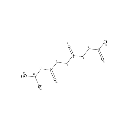 CCC(=O)CCC(=O)CCC(=O)CC(O)Br